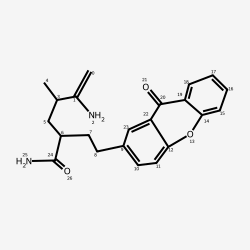 C=C(N)C(C)CC(CCc1ccc2oc3ccccc3c(=O)c2c1)C(N)=O